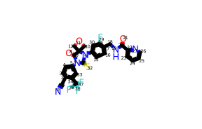 N#Cc1ccc(N2C(=O)C3(COC3)N(c3ccc(CNC(=O)c4ccccn4)c(F)c3)C2=S)cc1C(F)(F)F